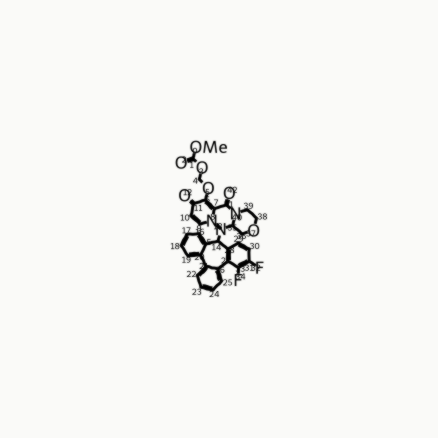 COC(=O)OCOc1c2n(ccc1=O)N(C1c3ccccc3-c3ccccc3-c3c1ccc(F)c3F)C1COCCN1C2=O